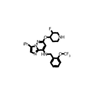 CC(C)c1cnc2c(NCc3ccccc3OC(F)(F)F)cc(OC3CCNCC3F)nn12